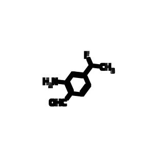 CC(F)c1ccc(C=O)c(N)c1